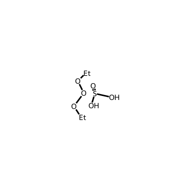 CCOOOCC.O=S(O)O